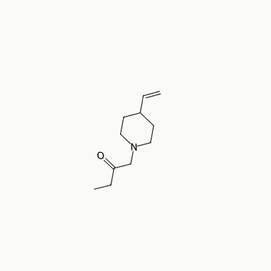 C=CC1CCN(CC(=O)CC)CC1